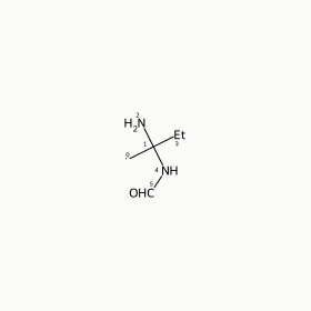 [CH2]C(N)(CC)NC=O